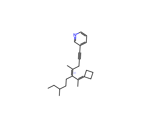 CCC(C)CC/C(C(C)=C1CCC1)=C(\C)CC#Cc1cccnc1